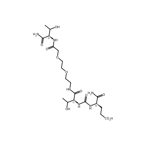 CC(O)[C@H](NC(=O)N[C@H](CCC(=O)O)C(N)=O)C(=O)NCCOCCOCC(=O)N[C@@H](C(N)=O)C(C)O